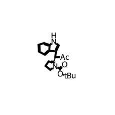 CC(=O)C(c1c[nH]c2ccccc12)[C@@H]1CCCN1C(=O)OC(C)(C)C